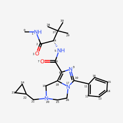 CNC(=O)[C@@H](NC(=O)c1nc(-c2ccccc2)n2c1CN(CC1CC1)CC2)C(C)(C)C